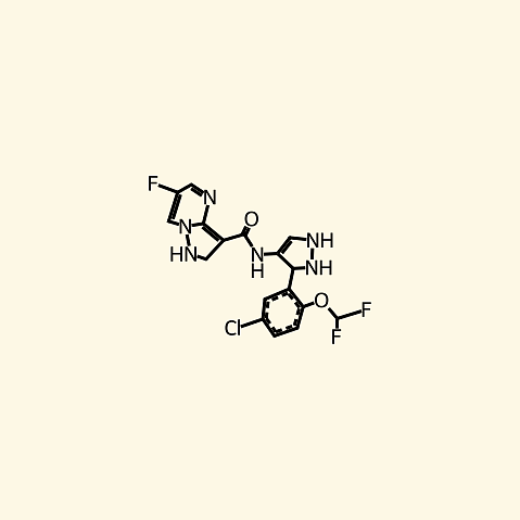 O=C(NC1=CNNC1c1cc(Cl)ccc1OC(F)F)C1=C2N=CC(F)=CN2NC1